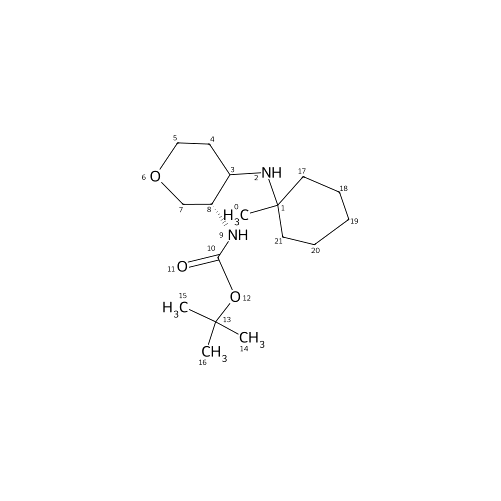 CC1(NC2CCOC[C@H]2NC(=O)OC(C)(C)C)CCCCC1